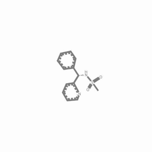 CS(=O)(=O)N[C@@H](c1ccccc1)c1ccccn1